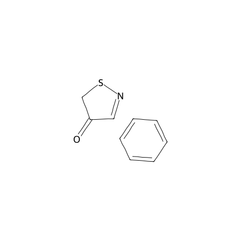 O=C1C=NSC1.c1ccccc1